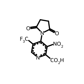 O=C(O)c1ncc(C(F)(F)F)c(N2C(=O)CCC2=O)c1[N+](=O)[O-]